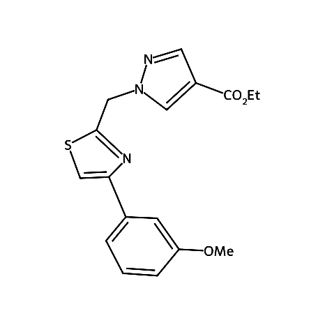 CCOC(=O)c1cnn(Cc2nc(-c3cccc(OC)c3)cs2)c1